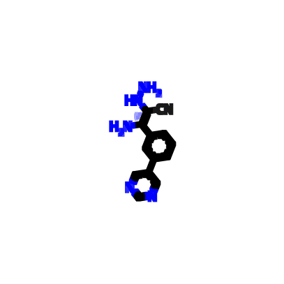 N#C/C(NN)=C(/N)c1cccc(-c2cncnc2)c1